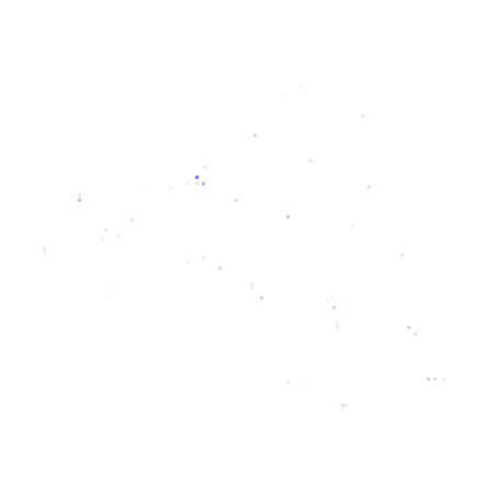 CC1(C)NC(CCOc2ccccc2Oc2ncc(C(F)(F)F)cc2Cl)=NC1=O